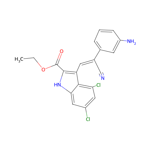 CCOC(=O)c1[nH]c2cc(Cl)cc(Cl)c2c1C=C(C#N)c1cccc(N)c1